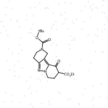 CCOC(=O)C1CCn2nc3c(c2C1=O)CN(C(=O)OC(C)(C)C)CC3